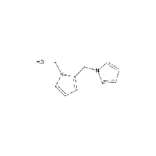 OCn1cccc1Cn1cccc1